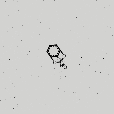 Cc1c2cccc1O[PH](=O)O2